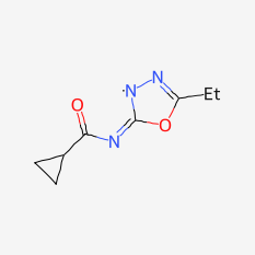 CCC1=N[N]C(=NC(=O)C2CC2)O1